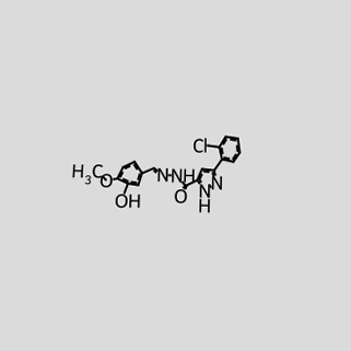 COc1ccc(/C=N/NC(=O)c2cc(-c3ccccc3Cl)n[nH]2)cc1O